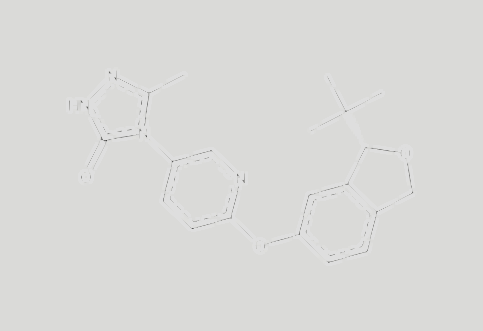 Cc1n[nH]c(=O)n1-c1ccc(Oc2ccc3c(c2)[C@H](C(C)(C)C)OC3)nc1